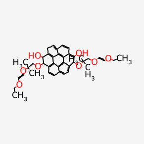 CCO/C=C/OCC(C)(C)OC1C(O)=c2ccc3c4c5c6c(ccc7ccc1c(c24)c76)C(OCC(C)(C)O/C=C/OCC)C(O)C=5CC=3